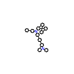 C1=CC2c3cc(-c4ccc(-c5ccc(N(c6ccc(-c7ccccc7)cc6)c6ccc7c(c6)C6(c8ccccc8-c8ccccc86)c6ccccc6-7)cc5)cc4)ccc3N(c3ccccc3)C2C=C1